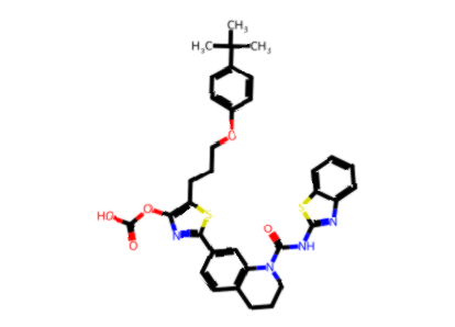 CC(C)(C)c1ccc(OCCCc2sc(-c3ccc4c(c3)N(C(=O)Nc3nc5ccccc5s3)CCC4)nc2OC(=O)O)cc1